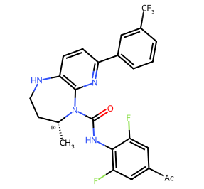 CC(=O)c1cc(F)c(NC(=O)N2c3nc(-c4cccc(C(F)(F)F)c4)ccc3NCC[C@H]2C)c(F)c1